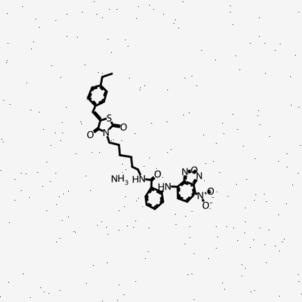 CCc1ccc(/C=C2\SC(=O)N(CCCCCCNC(=O)c3ccccc3Nc3ccc([N+](=O)[O-])c4nonc34)C2=O)cc1.N